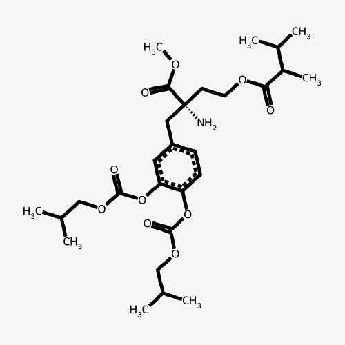 COC(=O)[C@@](N)(CCOC(=O)C(C)C(C)C)Cc1ccc(OC(=O)OCC(C)C)c(OC(=O)OCC(C)C)c1